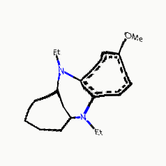 CCN1c2ccc(OC)cc2N(CC)C2CCCCC21